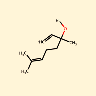 [CH]=CC(C)(CCC=C(C)C)OCC